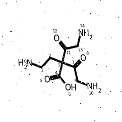 NCCC(C(=O)O)(C(=O)CN)C(=O)CN